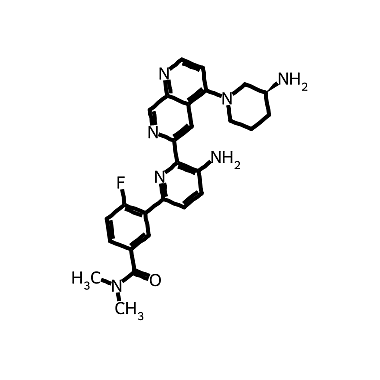 CN(C)C(=O)c1ccc(F)c(-c2ccc(N)c(-c3cc4c(N5CCC[C@H](N)C5)ccnc4cn3)n2)c1